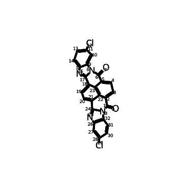 O=c1c2ccc3c(=O)n4c5cc(Cl)ccc5nc4c4ccc(c2c34)c2nc3cc(Cl)ccc3n12